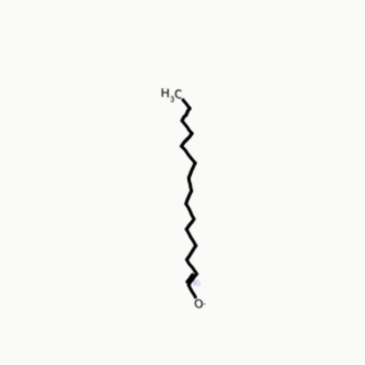 CCCCCCCCCCCCC/C=C/[O]